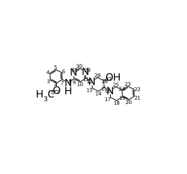 COc1ccccc1Nc1cc(N2CC[C@@H](N3CCc4ccccc4C3)[C@H](O)C2)ncn1